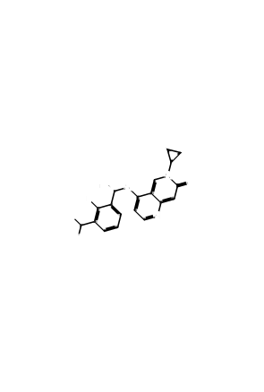 C[C@@H](Nc1ccnc2cc(=O)n(C3CC3)cc12)c1cccc(C(F)F)c1F